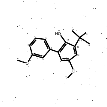 COc1cccc(-c2cc(OC)cc(C(C)(C)C)c2O)c1